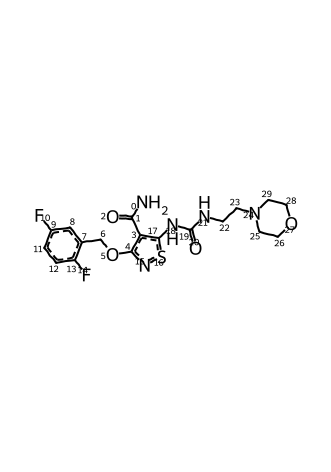 NC(=O)c1c(OCc2cc(F)ccc2F)nsc1NC(=O)NCCN1CCOCC1